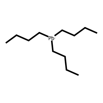 CCC[CH2][Pb]([CH2]CCC)[CH2]CCC